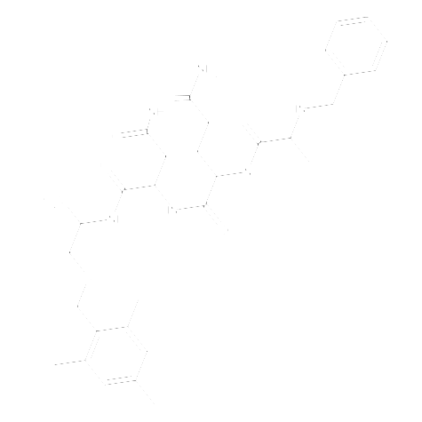 Cc1cc(C)c(CSCC(NC(=O)C(CC(N)=O)NC(=O)C(CCC(N)=O)NC(=O)C(C)NCc2ccccc2)C(=O)O)c(C)c1